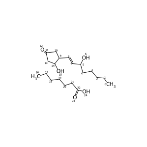 CCCCCC(O)C=CC1CC(=O)CC1O.CCCCCCC(=O)O